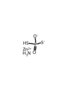 N.O=P([O-])([S-])S.[Zn+2]